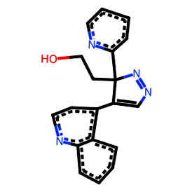 OCCC1(c2ccccn2)N=NC=C1c1ccnc2ccccc12